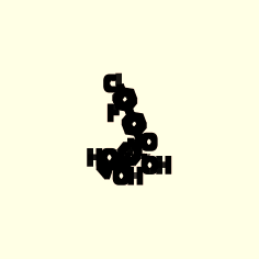 O=C(c1ccc(-c2ccc(Cl)cc2F)cc1)N1CCN(C(O)C2(O)CC2)C[C@H]1CO